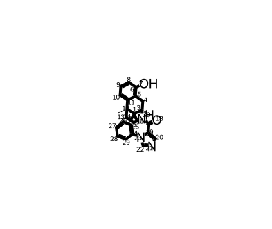 CC1(C)[C@H]2Cc3c(O)cccc3[C@]1(C)CCN2C(=O)c1cncn1-c1ccccc1